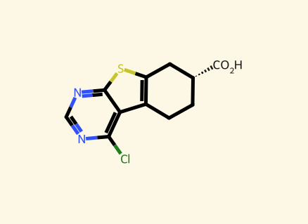 O=C(O)[C@@H]1CCc2c(sc3ncnc(Cl)c23)C1